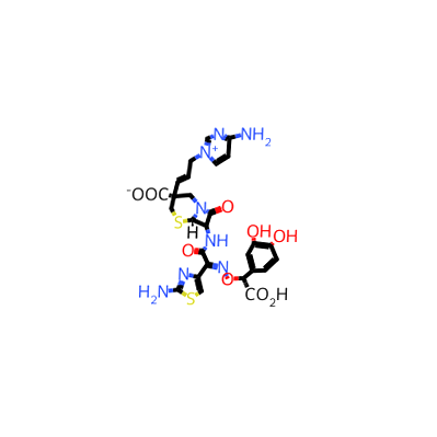 Nc1cc[n+](CC=CC2(C(=O)[O-])CS[C@@H]3C(NC(=O)C(=NOC(C(=O)O)c4ccc(O)c(O)c4)c4csc(N)n4)C(=O)N3C2)cn1